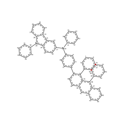 c1ccc(-c2c(-c3ccc(N(c4ccccc4)c4ccc5c(c4)c4ccccc4n5-c4ccccc4)cc3)ccc3cc4ccccc4c(-c4ccccc4)c23)cc1